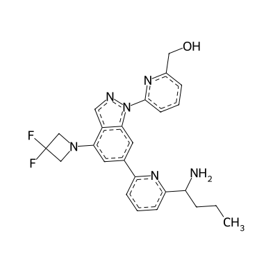 CCCC(N)c1cccc(-c2cc(N3CC(F)(F)C3)c3cnn(-c4cccc(CO)n4)c3c2)n1